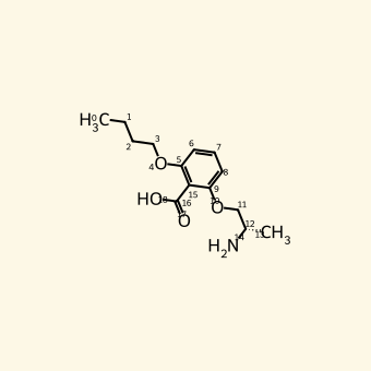 CCCCOc1cccc(OC[C@H](C)N)c1C(=O)O